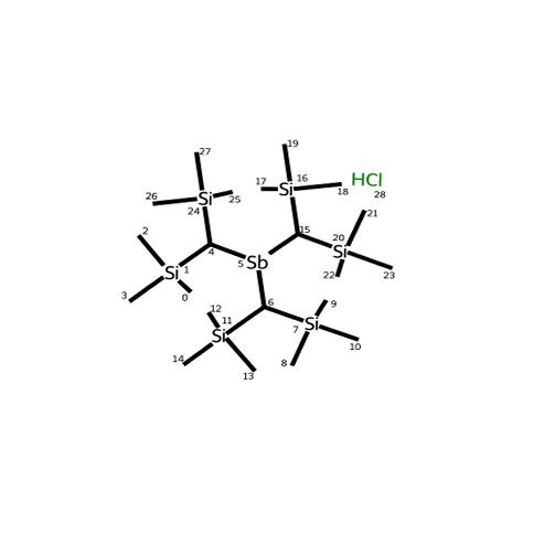 C[Si](C)(C)[CH]([Sb]([CH]([Si](C)(C)C)[Si](C)(C)C)[CH]([Si](C)(C)C)[Si](C)(C)C)[Si](C)(C)C.Cl